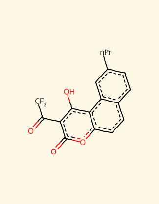 CCCc1ccc2ccc3oc(=O)c(C(=O)C(F)(F)F)c(O)c3c2c1